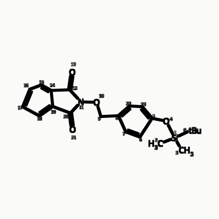 CC(C)(C)[Si](C)(C)Oc1ccc(CON2C(=O)c3ccccc3C2=O)cc1